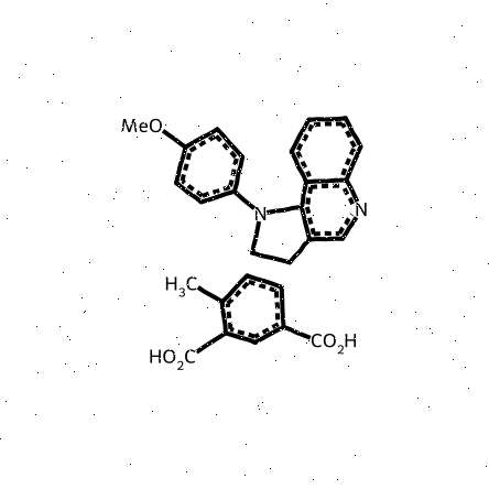 COc1ccc(N2CCc3cnc4ccccc4c32)cc1.Cc1ccc(C(=O)O)cc1C(=O)O